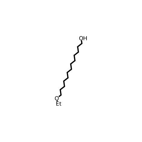 CCOCCCCCCCCCCCCCO